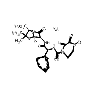 CCN1CCN(C(=O)NC(C(=O)N[C@@H]2C(=O)N3[C@@H]2SC(C)(C)[C@@H]3C(=O)O)c2ccccc2)C(=O)C1=O.[KH]